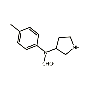 Cc1ccc(N([C]=O)C2CCNC2)cc1